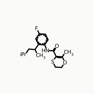 CC1=C(C(=O)Nc2ccc(F)cc2C(C)CC(C)C)SCCO1